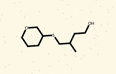 CC(CCO)CSC1CCCOC1